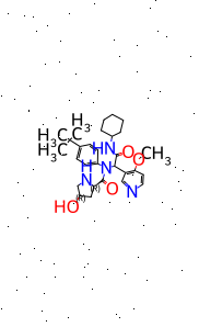 COc1ccncc1C(C(=O)NC1CCCCC1)N(C(=O)[C@H]1C[C@@H](O)CN1)c1ccc(C(C)(C)C)cc1